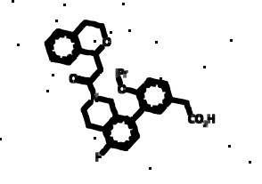 CC(C)Oc1ccc(CC(=O)O)cc1-c1ccc(F)c2c1CN(C(=O)CC1OCCc3ccccc31)CC2